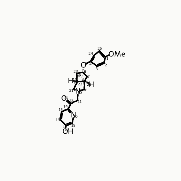 COc1ccc(O[C@@H]2C[C@@H]3CN(CC(=O)c4ccc(O)cn4)C[C@@H]3C2)cc1